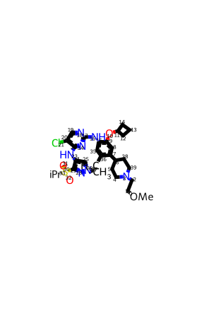 COCCN1CCC(c2cc(OC3CCC3)c(Nc3ncc(Cl)c(Nc4cn(C)nc4S(=O)(=O)C(C)C)n3)cc2C)CC1